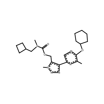 Cc1nc(-c2nnn(C)c2COC(=O)N(C)CC2CCC2)cnc1OC1CCCCC1